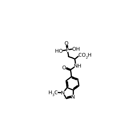 Cn1[c]nc2ccc(C(=O)NC(CP(=O)(O)O)C(=O)O)cc21